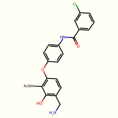 CC(=O)Nc1c(Oc2ccc(NC(=O)c3cccc(Cl)c3)cc2)ccc(CN)c1O